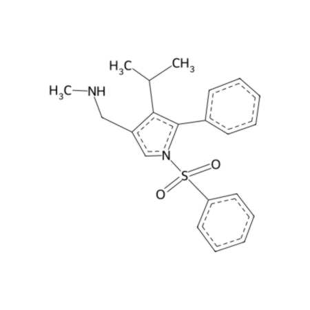 CNCc1cn(S(=O)(=O)c2ccccc2)c(-c2ccccc2)c1C(C)C